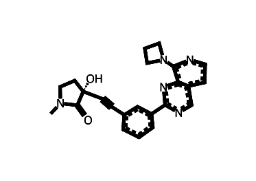 CN1CC[C@@](O)(C#Cc2cccc(-c3ncc4ccnc(N5CCC5)c4n3)c2)C1=O